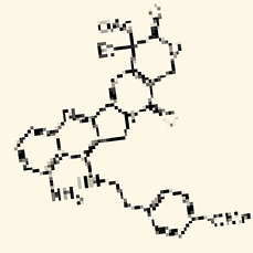 CC[C@@]1(OC(C)=O)C(=O)OCc2c1cc1n(c2=O)Cc2c-1nc1cccc(N)c1c2NCCc1ccc(OC)cc1